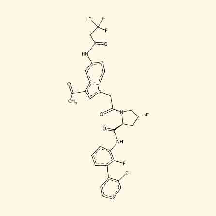 CC(=O)c1cn(CC(=O)N2C[C@H](F)C[C@H]2C(=O)Nc2cccc(-c3ccccc3Cl)c2F)c2ccc(NC(=O)CC(F)(F)F)cc12